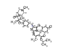 CC1=C(C(=O)OC(C)C)C(c2ccc(Cl)cc2)n2c(s/c(=C\c3ccc(OC(C)(C)C(=O)N4CCN(C)CC4)cc3)c2=O)=N1